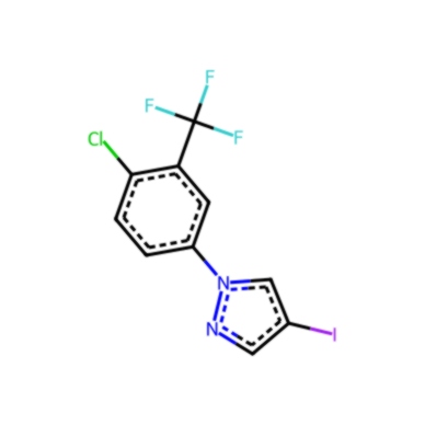 FC(F)(F)c1cc(-n2cc(I)cn2)ccc1Cl